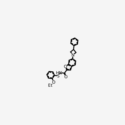 CCOc1ccccc1SNC(=O)c1cc2ccc(N3CC(c4ccccc4)C3)cc2o1